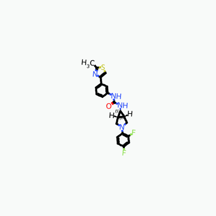 Cc1nc(-c2cccc(NC(=O)N[C@H]3[C@@H]4CN(c5ccc(F)cc5F)C[C@@H]43)c2)cs1